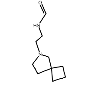 O=CNCCN1CCC2(CCC2)C1